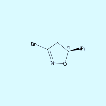 CC(C)[C@@H]1CC(Br)=NO1